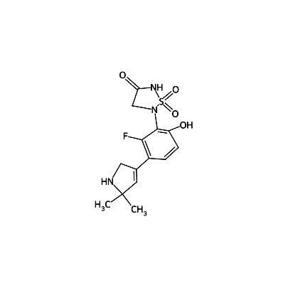 CC1(C)C=C(c2ccc(O)c(N3CC(=O)NS3(=O)=O)c2F)CN1